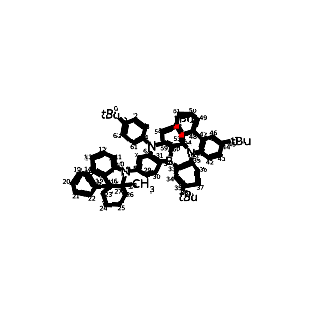 CC(C)(C)c1ccc(N2c3cc(N4c5ccccc5C5(c6ccccc6)CCCCC45C)ccc3B3c4cc(C(C)(C)C)ccc4N(c4ccc(C(C)(C)C)cc4-c4ccccc4)c4cc(C(C)(C)C)cc2c43)cc1